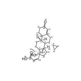 CC[C@]12CC[C@H]3[C@@H]([C@@H](C4CC4)CC4=CC(=O)CC[C@@H]43)[C@@H]1CC[C@@]2(O)/C=C\C(=O)O